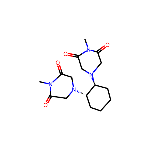 CN1C(=O)CN([C@H]2CCCC[C@@H]2N2CC(=O)N(C)C(=O)C2)CC1=O